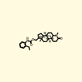 CCc1ccccc1NC(=O)OCC1CC[C@H]2[C@@H]3CCC4N(C)C(=O)CC[C@]4(C)[C@@H]3CC[C@]12C